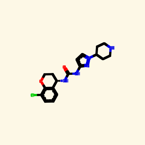 O=C(Nc1ccn(C2CCNCC2)n1)N[C@H]1CCOc2c(Cl)cccc21